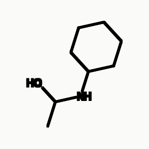 CC(O)NC1CCCCC1